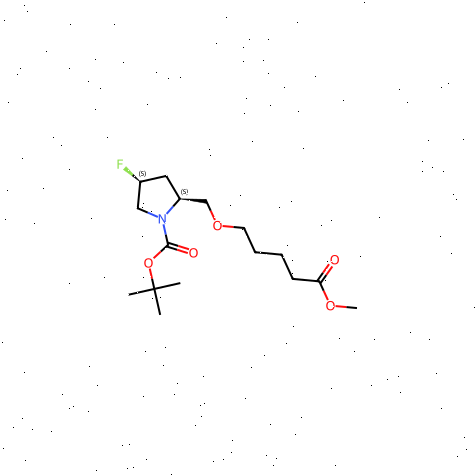 COC(=O)CCCCOC[C@@H]1C[C@H](F)CN1C(=O)OC(C)(C)C